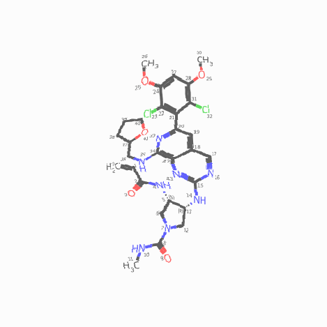 C=CC(=O)N[C@H]1CN(C(=O)NC)C[C@H]1Nc1ncc2cc(-c3c(Cl)c(OC)cc(OC)c3Cl)nc(NCC3CCCO3)c2n1